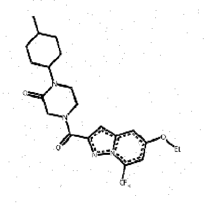 CCOc1cc(C(F)(F)F)n2nc(C(=O)N3CCN(C4CCC(C)CC4)C(=O)C3)cc2c1